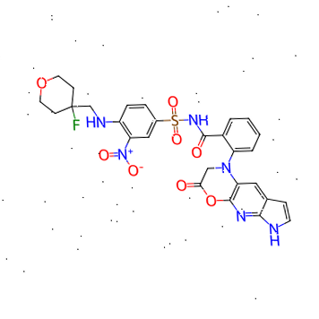 O=C1CN(c2ccccc2C(=O)NS(=O)(=O)c2ccc(NCC3(F)CCOCC3)c([N+](=O)[O-])c2)c2cc3cc[nH]c3nc2O1